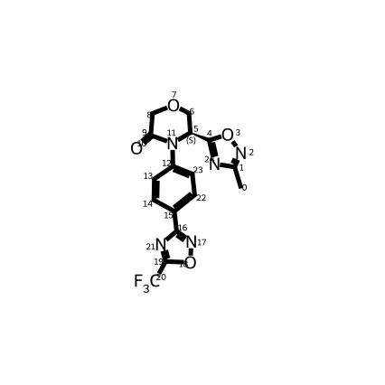 Cc1noc([C@@H]2COCC(=O)N2c2ccc(-c3noc(C(F)(F)F)n3)cc2)n1